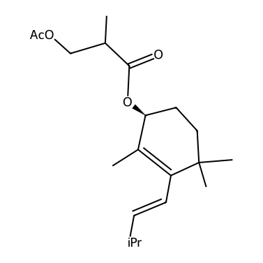 CC(=O)OCC(C)C(=O)O[C@H]1CCC(C)(C)C(/C=C/C(C)C)=C1C